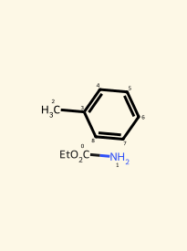 CCOC(N)=O.Cc1ccccc1